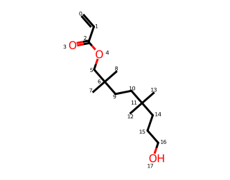 C=CC(=O)OCC(C)(C)CCC(C)(C)CCCO